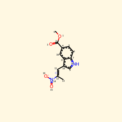 COC(=O)c1ccc2[nH]cc(/C=C(\C)[N+](=O)[O-])c2c1